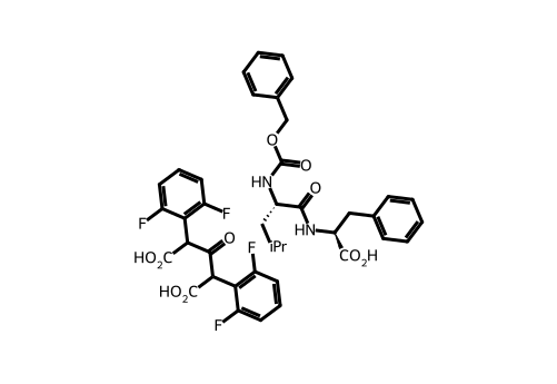 CC(C)C[C@H](NC(=O)OCc1ccccc1)C(=O)N[C@@H](Cc1ccccc1)C(=O)O.O=C(O)C(C(=O)C(C(=O)O)c1c(F)cccc1F)c1c(F)cccc1F